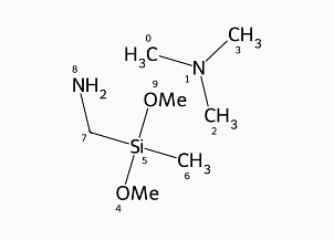 CN(C)C.CO[Si](C)(CN)OC